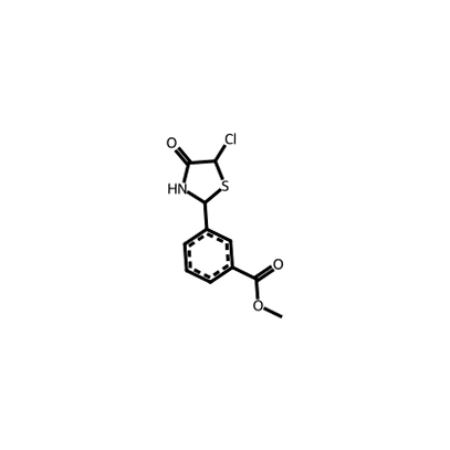 COC(=O)c1cccc(C2NC(=O)C(Cl)S2)c1